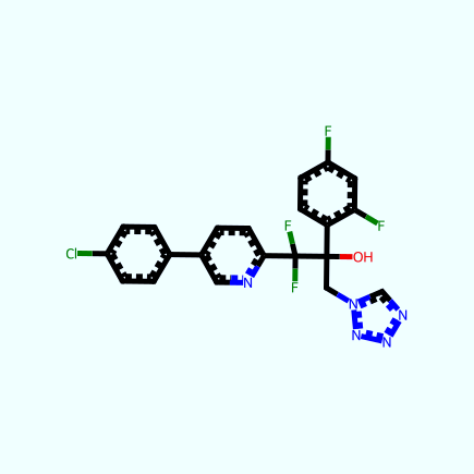 OC(Cn1cnnn1)(c1ccc(F)cc1F)C(F)(F)c1ccc(-c2ccc(Cl)cc2)cn1